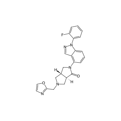 O=C1[C@H]2CN(Cc3ncco3)C[C@@H]2CN1c1cccc2c1cnn2-c1ccccc1F